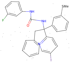 CSc1cccc(C(Cc2ccccc2)(NC(=O)Nc2cccc(F)c2)c2ccc(I)cn2)c1